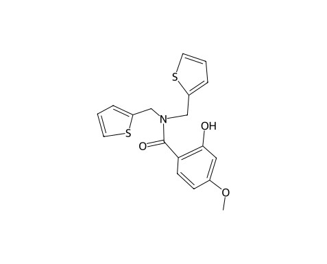 COc1ccc(C(=O)N(Cc2cccs2)Cc2cccs2)c(O)c1